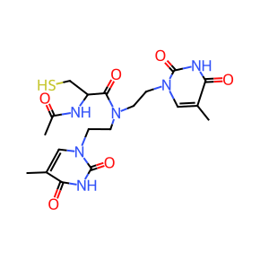 CC(=O)NC(CS)C(=O)N(CCn1cc(C)c(=O)[nH]c1=O)CCn1cc(C)c(=O)[nH]c1=O